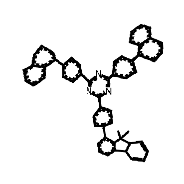 CC1(C)c2c(-c3ccc(-c4nc(-c5ccc(-c6cccc7ccccc67)cc5)nc(-c5ccc(-c6cccc7ccccc67)cc5)n4)cc3)cccc2C2C=CC=CC21